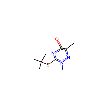 Cc1nn(C)c(SC(C)(C)C)nc1=O